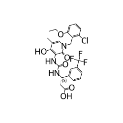 CCOc1cccc(Cl)c1Cn1cc(C)c(O)c(NC(=O)N[C@@H](CC(=O)O)c2cccc(C(F)(F)F)c2)c1=O